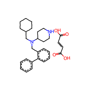 O=C(O)C=CC(=O)O.c1ccc(-c2ccccc2CN(CC2CCCCC2)C2CCNCC2)cc1